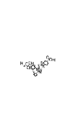 CC(C)(C)c1ccc(-n2c(Sc3nc4ccc(C(=O)O)cc4s3)nnc2-c2cccs2)cc1